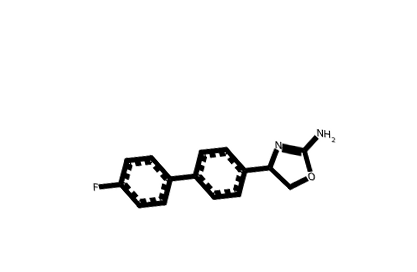 NC1=NC(c2ccc(-c3ccc(F)cc3)cc2)CO1